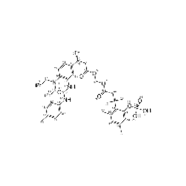 CC[C@@H](CC(=O)OCOC(=O)CC(C)(C)c1c(C)cc(C)cc1OP(=O)(O)O)c1ccc(N(CC(C)C)CC(C)C)c(NC(=O)Nc2ccc(C)cc2)c1